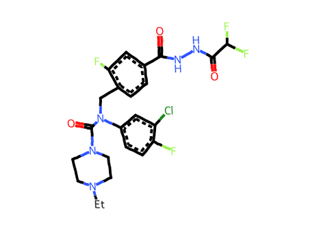 CCN1CCN(C(=O)N(Cc2ccc(C(=O)NNC(=O)C(F)F)cc2F)c2ccc(F)c(Cl)c2)CC1